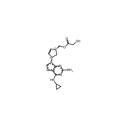 Nc1nc(NC2CC2)c2ncn([C@H]3C=C[C@@H](COC(=O)CO)C3)c2n1